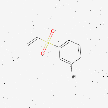 C=CS(=O)(=O)c1cccc(C(C)C)c1